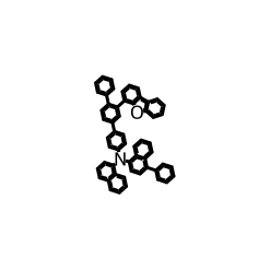 c1ccc(-c2ccc(-c3ccc(N(c4cccc5ccccc45)c4ccc(-c5ccccc5)c5ccccc45)cc3)cc2-c2cccc3c2oc2ccccc23)cc1